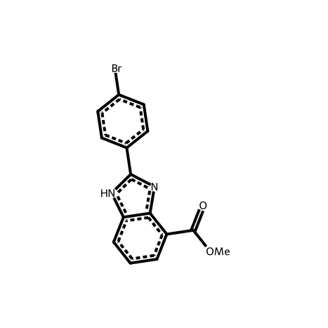 COC(=O)c1cccc2[nH]c(-c3ccc(Br)cc3)nc12